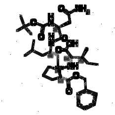 CC[C@H](C)[C@H](N[N+]1(C[C@H](CC(C)C)NC(=O)[C@H](CC(N)=O)NC(=O)OC(C)(C)C)CCC[C@H]1C(=O)OCc1ccccc1)C(=O)O